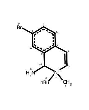 CCCC[N+]1(C)C=Cc2ccc(Br)cc2C1N